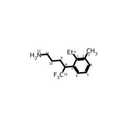 CCc1c(C)cccc1C(CCCN)C(F)(F)F